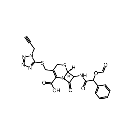 C#CCn1nnnc1SCC1=C(C(=O)O)N2C(=O)C(NC(=O)C(OC=O)c3ccccc3)[C@H]2SC1